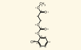 COC(=O)CCOC(=O)Oc1ccccc1Cl